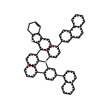 C1=Cc2c(sc3c(-c4ccccc4N(c4ccc(-c5ccc6c(ccc7ccccc76)c5)cc4)c4cc(-c5cccc6ccccc56)ccc4-c4ccccc4)cccc23)CC1